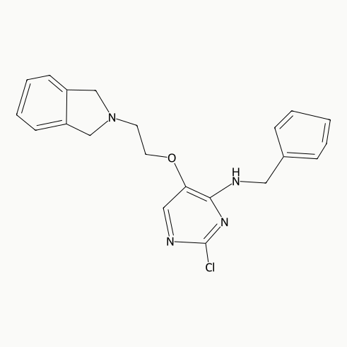 Clc1ncc(OCCN2Cc3ccccc3C2)c(NCc2ccccc2)n1